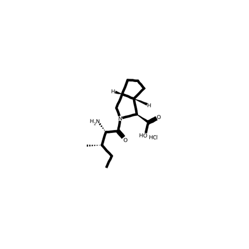 CC[C@H](C)[C@H](N)C(=O)N1C[C@@H]2CCC[C@@H]2[C@H]1C(=O)O.Cl